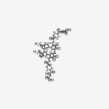 Cn1ccc2cc(-c3cc(Sc4cc(-c5ccc6c(ccn6C)c5)c(/C=C/C(=O)N5CCC(C(=O)NCC(=O)O)CC5)c(Cl)c4Cl)c(Cl)c(Cl)c3/C=C/C(=O)N3CCC(C(=O)NCC(=O)O)CC3)ccc21